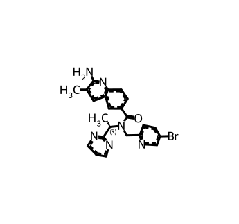 Cc1cc2cc(C(=O)N(Cc3ccc(Br)cn3)[C@H](C)c3ncccn3)ccc2nc1N